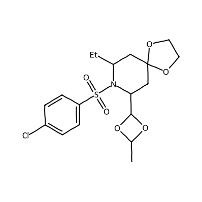 CCC1CC2(CC(C3OC(C)O3)N1S(=O)(=O)c1ccc(Cl)cc1)OCCO2